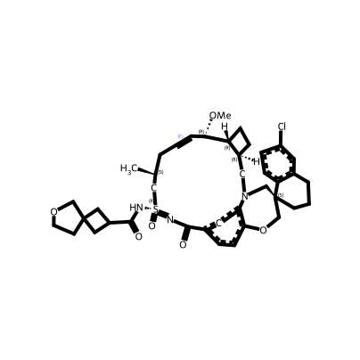 CO[C@H]1/C=C/C[C@H](C)C[S@@](=O)(NC(=O)C2CC3(CCOC3)C2)=NC(=O)c2ccc3c(c2)N(C[C@@H]2CC[C@H]21)C[C@@]1(CCCc2cc(Cl)ccc21)CO3